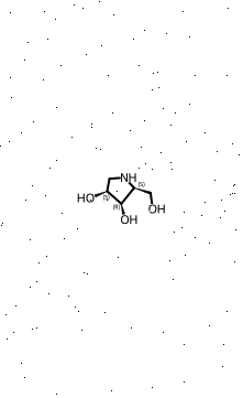 OC[C@@H]1NC[C@H](O)[C@@H]1O